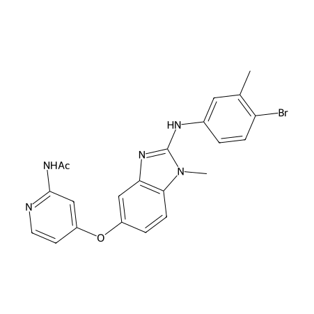 CC(=O)Nc1cc(Oc2ccc3c(c2)nc(Nc2ccc(Br)c(C)c2)n3C)ccn1